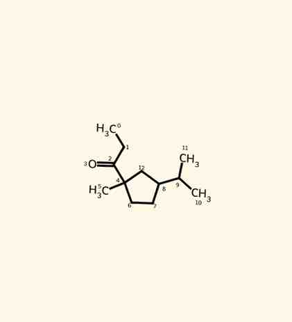 CCC(=O)C1(C)CCC(C(C)C)C1